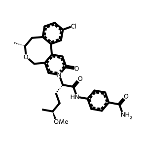 CO[C@@H](C)CC[C@@H](C(=O)Nc1ccc(C(N)=O)cc1)n1cc2c(cc1=O)-c1cc(Cl)ccc1C[C@@H](C)OC2